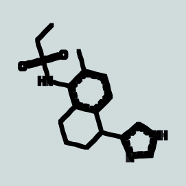 CCS(=O)(=O)Nc1c(C)ccc2c1CCCC2c1c[nH]cn1